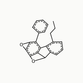 CCCc1cccc2c1-c1c(-c3ccccc3)c3c(c4c1C2O4)O3